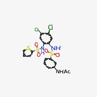 CC(=O)Nc1cccc(S(=O)(=O)Nc2cc(Cl)c(Cl)cc2NS(=O)(=O)c2cccs2)c1